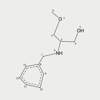 COCC(CO)NCc1ccccc1